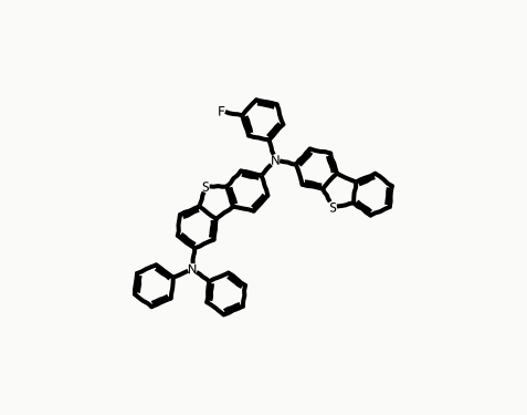 Fc1cccc(N(c2ccc3c(c2)sc2ccccc23)c2ccc3c(c2)sc2ccc(N(c4ccccc4)c4ccccc4)cc23)c1